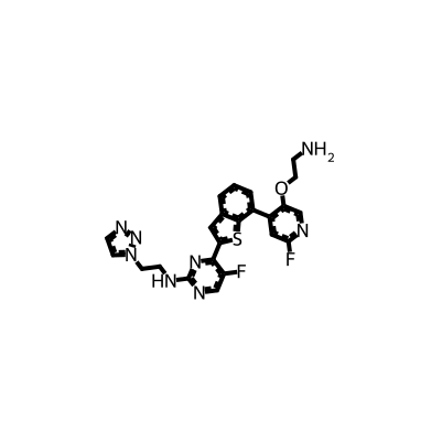 NCCOc1cnc(F)cc1-c1cccc2cc(-c3nc(NCCn4ccnn4)ncc3F)sc12